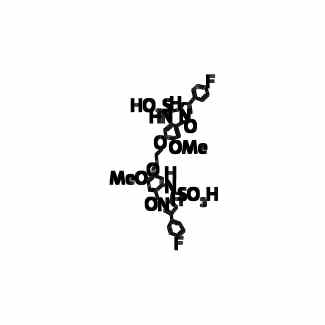 COc1cc2c(cc1OCCCOc1cc3c(cc1OC)C(=O)N1C=C(c4ccc(F)cc4)C[C@H]1[C@H](S(=O)(=O)O)N3)N[C@@H](S(=O)(=O)O)[C@@H]1CC(c3ccc(F)cc3)=CN1C2=O